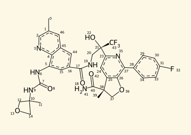 Cc1cnc2c(NC(=O)NC3(C)COC3)cc(C(=O)NC[C@](O)(c3cc4c(c(-c5ccc(F)cc5)n3)OC[C@]4(C)C(N)=O)C(F)(F)F)cc2c1